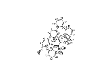 N#Cc1ccc(-c2ccc3c(c2)C2(c4ccccc4-c4ccccc4-3)c3ccccc3-c3c2ccc2c3S(=O)(=O)c3ccccc3-2)cc1